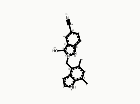 Cc1cc(C)c2[nH]ccc2c1Cn1nc2ccc(C#N)cc2c1O